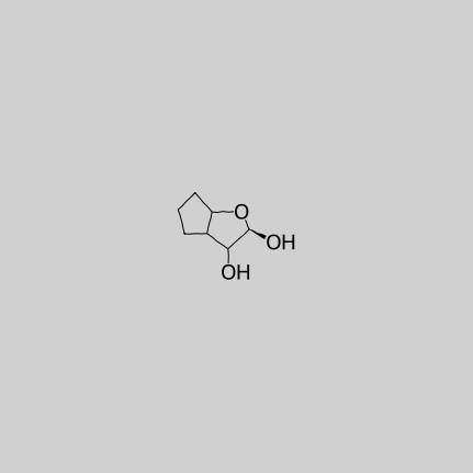 OC1C2CCCC2O[C@H]1O